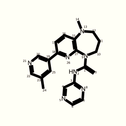 C=C(Nc1cnccn1)N1CCCN(C)c2ccc(-c3cncc(C)c3)nc21